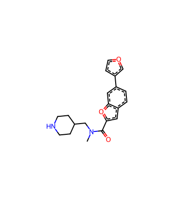 CN(CC1CCNCC1)C(=O)c1cc2ccc(-c3ccoc3)cc2o1